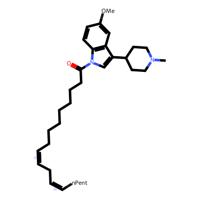 CCCCC/C=C\C/C=C\CCCCCCCC(=O)n1cc(C2CCN(C)CC2)c2cc(OC)ccc21